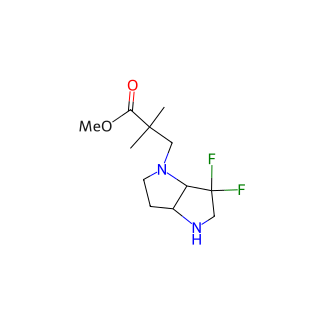 COC(=O)C(C)(C)CN1CCC2NCC(F)(F)C21